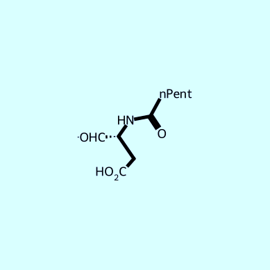 CCCCCC(=O)N[C@@H]([C]=O)CC(=O)O